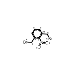 O=[N+]([O-])c1c(CBr)cccc1CBr